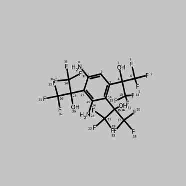 Nc1cc(C(O)(C(F)(F)F)C(F)(F)F)c(C(O)(C(F)(F)F)C(F)(F)F)c(N)c1C(O)(C(F)(F)F)C(F)(F)F